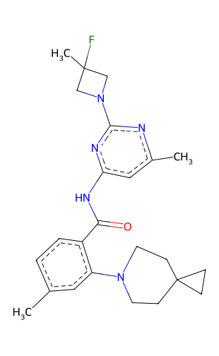 Cc1ccc(C(=O)Nc2cc(C)nc(N3CC(C)(F)C3)n2)c(N2CCC3(CC2)CC3)c1